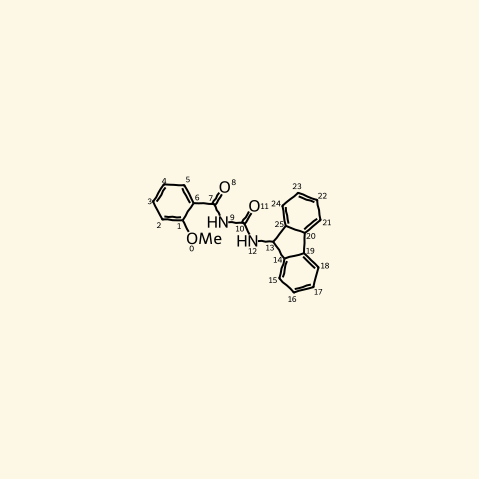 COc1ccccc1C(=O)NC(=O)NC1c2ccccc2-c2ccccc21